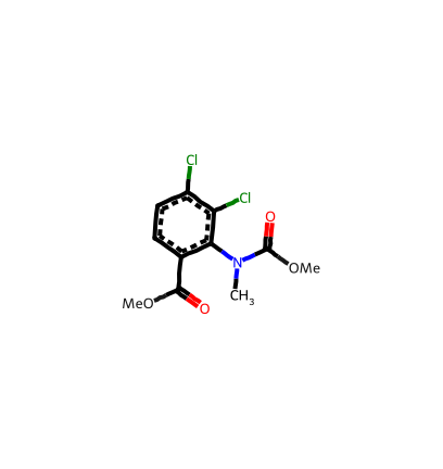 COC(=O)c1ccc(Cl)c(Cl)c1N(C)C(=O)OC